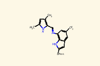 CCCCCc1cc2cc(C(F)(F)F)cc(/N=C/c3[nH]c(C)cc3C)c2[nH]1